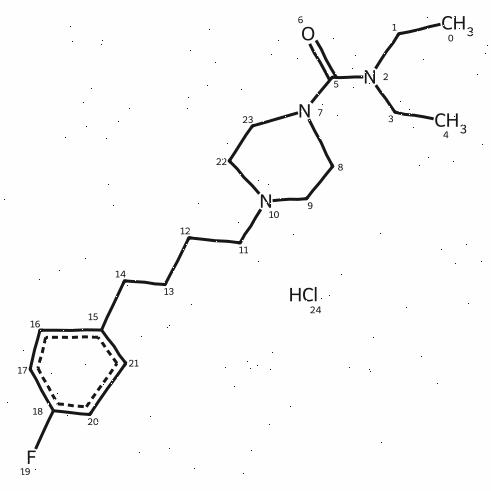 CCN(CC)C(=O)N1CCN(CCCCc2ccc(F)cc2)CC1.Cl